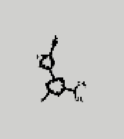 CC(C)c1cc(F)cc(-c2c[nH]c(C#N)c2)c1